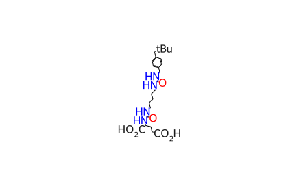 CC(C)(C)Cc1ccc(CNC(=O)NCCCCCNC(=O)NC(CCC(=O)O)C(=O)O)cc1